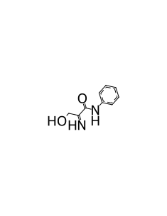 N=C(CO)C(=O)Nc1ccccc1